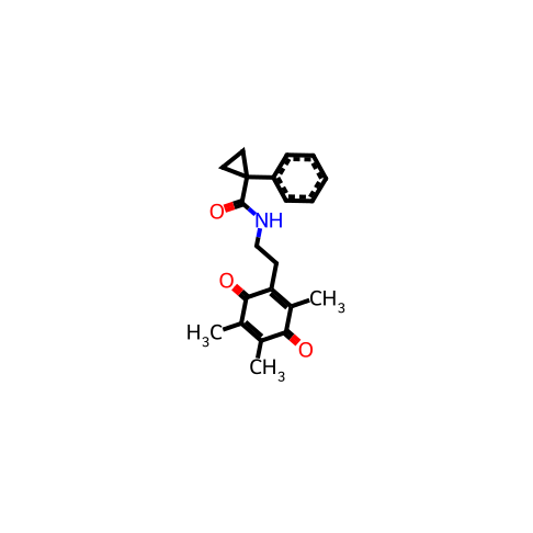 CC1=C(C)C(=O)C(CCNC(=O)C2(c3ccccc3)CC2)=C(C)C1=O